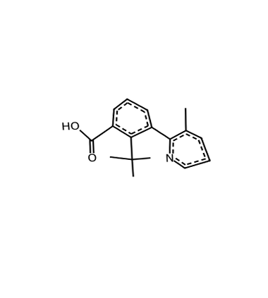 Cc1cccnc1-c1cccc(C(=O)O)c1C(C)(C)C